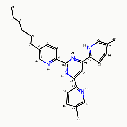 CCCCCCc1ccc(-c2nc(-c3ccc(C)cn3)cc(-c3ccc(C)cn3)n2)nc1